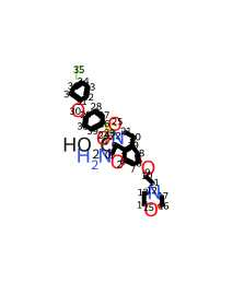 NC(=O)C1(C(=O)O)c2ccc(OCCN3CCOCC3)cc2CCN1S(=O)(=O)c1ccc(Oc2ccc(F)cc2)cc1